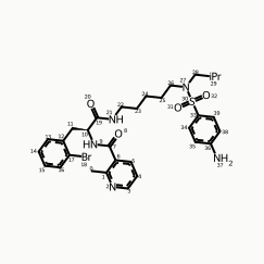 Cc1ncccc1C(=O)N[C@@H](Cc1ccccc1Br)C(=O)NCCCCCN(CC(C)C)S(=O)(=O)c1ccc(N)cc1